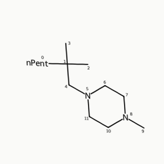 CCCCCC(C)(C)CN1CCN(C)CC1